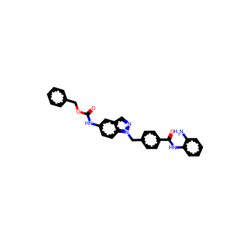 Nc1ccccc1NC(=O)c1ccc(Cn2ncc3cc(NC(=O)OCc4ccccc4)ccc32)cc1